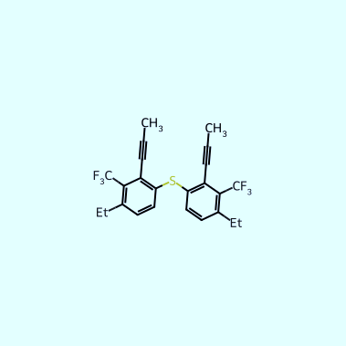 CC#Cc1c(Sc2ccc(CC)c(C(F)(F)F)c2C#CC)ccc(CC)c1C(F)(F)F